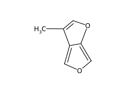 Cc1coc2cocc12